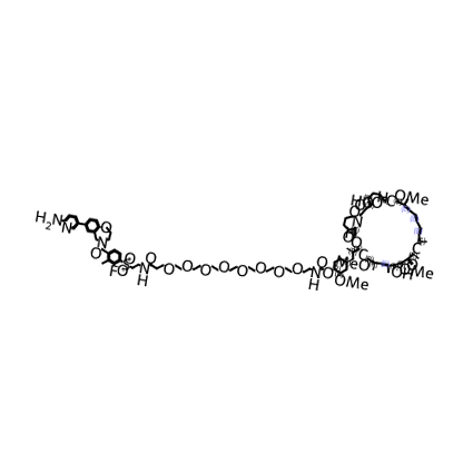 CO[C@H]1C[C@@H]2CC[C@@H](C)[C@@](O)(O2)C(=O)C(=O)N2CCCC[C@H]2C(=O)O[C@H]([C@H](C)C[C@@H]2CC[C@@H](OC(=O)NCCOCCOCCOCCOCCOCCOCCOCCOCCC(=O)NCCS(=O)(=O)c3ccc(C(=O)N4CCOc5ccc(-c6ccc(N)nc6)cc5C4)c(C)c3F)[C@H](OC)C2)C[C@@H](OC)[C@H](C)/C=C(\C)[C@@H](O)[C@@H](OC)C(=O)[C@H](C)C[C@H](C)/C=C/C=C/C=C/1C